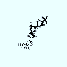 CC(C)(C)OC(=O)N1CC2CCC1CC21CC(=O)N(c2ccc(C(F)(F)F)nc2)C1